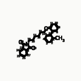 Cc1ccccc1-c1ccccc1OCCCCCCN1C(=O)c2ccccc2C1=O